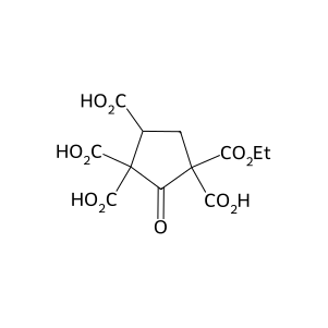 CCOC(=O)C1(C(=O)O)CC(C(=O)O)C(C(=O)O)(C(=O)O)C1=O